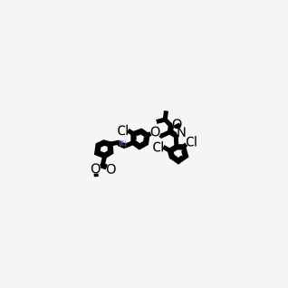 COC(=O)c1cccc(/C=C/c2ccc(OCc3c(-c4c(Cl)cccc4Cl)noc3C(C)C)cc2Cl)c1